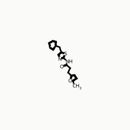 Cc1ccc(CCC(=O)Nc2ncc(Cc3ccccc3)s2)o1